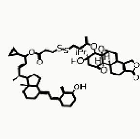 C=C(CCSSCCC(=O)OC(/C=C/[C@H](C)C1CCC2/C(=C/C=C3/CCC[C@H](O)C3=C)CCC[C@@]21C)C1CC1)O[C@H]1[C@]23O[C@H]2CC2C4=C(CC[C@]2(C)[C@@]32O[C@H]2C[C@@]1(O)C(C)C)C(=O)OC4